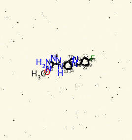 CO/N=C/c1c(N)ncnc1Nc1ccc2c(cnn2Cc2ccc(F)cc2)c1